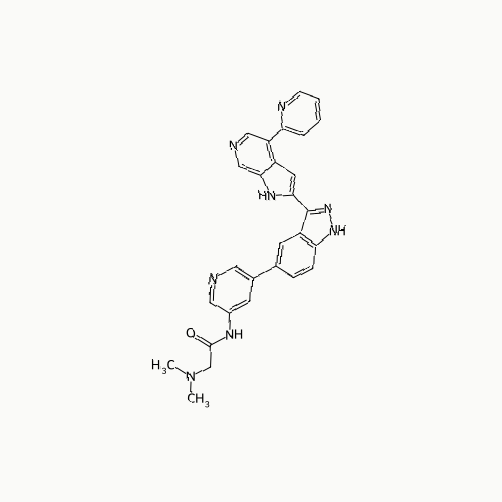 CN(C)CC(=O)Nc1cncc(-c2ccc3[nH]nc(-c4cc5c(-c6ccccn6)cncc5[nH]4)c3c2)c1